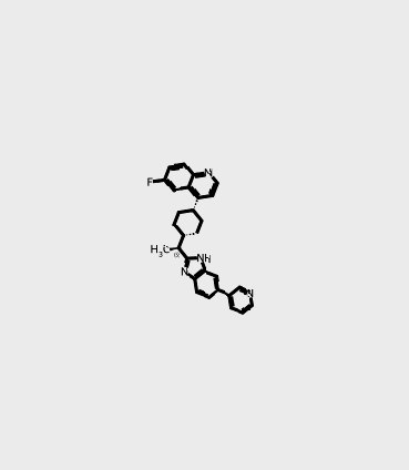 C[C@H](c1nc2ccc(-c3cccnc3)cc2[nH]1)[C@H]1CC[C@@H](c2ccnc3ccc(F)cc32)CC1